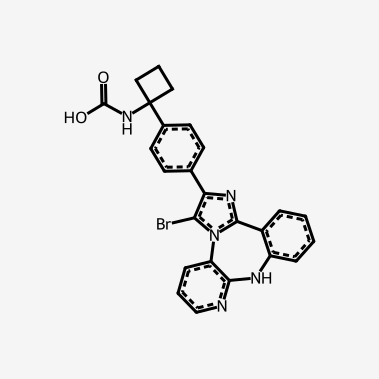 O=C(O)NC1(c2ccc(-c3nc4n(c3Br)-c3cccnc3Nc3ccccc3-4)cc2)CCC1